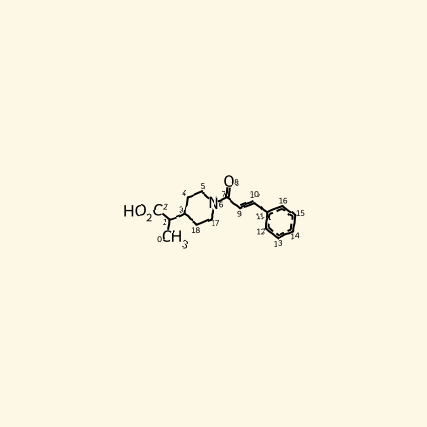 CC(C(=O)O)C1CCN(C(=O)/C=C/c2ccccc2)CC1